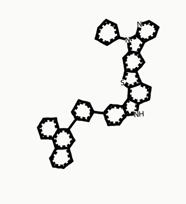 c1ccc(-n2c3cc4sc5c(ccc6[nH]c7ccc(-c8cccc(-c9cc%10ccccc%10c%10ccccc9%10)c8)cc7c65)c4cc3c3cccnc32)cc1